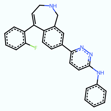 Fc1ccccc1C1=CCNCc2cc(-c3ccc(Nc4ccccc4)nn3)ccc21